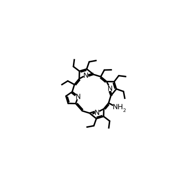 CCC1=C(CC)C2=C(N)C3=NC(=C(CC)C4=NC(=C(CC)C5=NC(=CC1=N2)C=C5)C(CC)=C4CC)C(CC)=C3CC